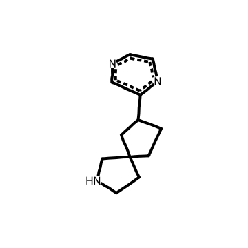 c1cnc(C2CCC3(CCNC3)C2)cn1